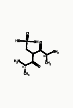 C[C@H](N)C(=O)N(CP(=O)(O)O)C(=O)[C@H](C)N